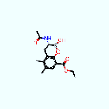 CCOC(=O)c1cc(C)c(C)c2c1OB(O)[C@@H](NC(C)=O)C2